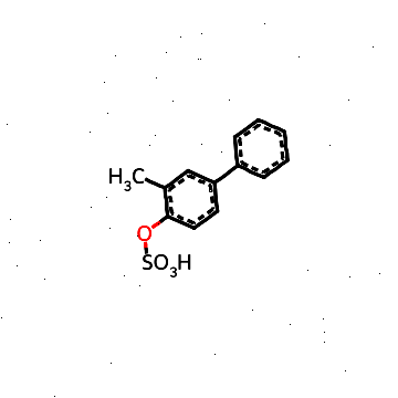 Cc1cc(-c2ccccc2)ccc1OS(=O)(=O)O